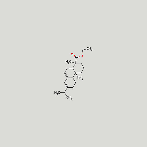 CCOC(=O)C1(C)CCCC2(C)C3CCC(C(C)C)=CC3=CCC12